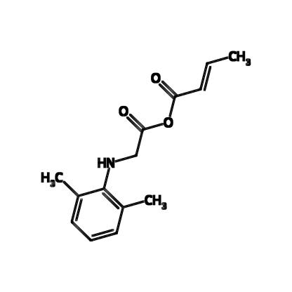 C/C=C/C(=O)OC(=O)CNc1c(C)cccc1C